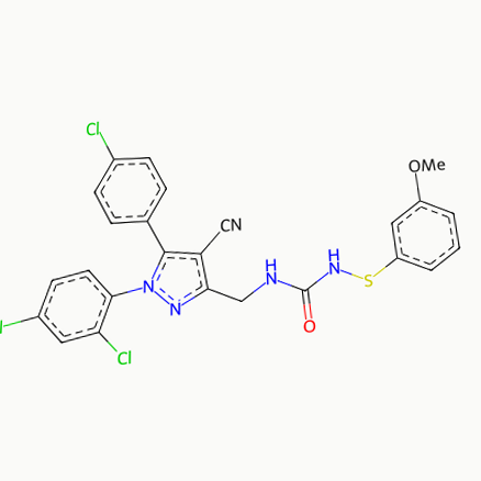 COc1cccc(SNC(=O)NCc2nn(-c3ccc(Cl)cc3Cl)c(-c3ccc(Cl)cc3)c2C#N)c1